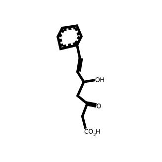 O=C(O)CC(=O)CC(O)C=Cc1ccccc1